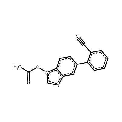 CC(=O)On1cnc2cc(-c3ccccc3C#N)ccc21